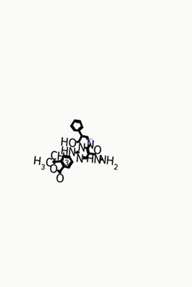 CC1(C)OC(=O)c2ccc(Nc3ncc(C(=O)NN)c(/N=C\C(CO)c4ccccc4)n3)cc21